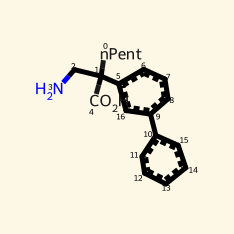 CCCCCC(CN)(C(=O)O)c1cccc(-c2ccccc2)c1